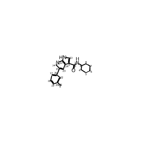 O=C(NC1CCCCC1)c1c[nH]c2ncc(-c3cccc(F)c3)cc12